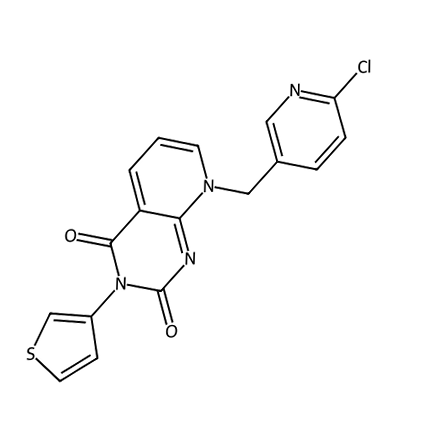 O=c1nc2n(Cc3ccc(Cl)nc3)cccc-2c(=O)n1-c1ccsc1